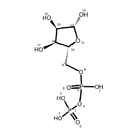 O=P(O)(O)OP(=O)(O)OC[C@H]1O[C@@H](O)[C@H](O)[C@@H]1O